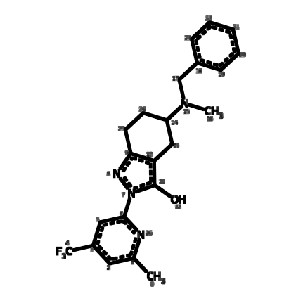 Cc1cc(C(F)(F)F)cc(-n2nc3c(c2O)CC(N(C)Cc2ccccc2)CC3)n1